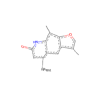 CCCCCc1cc(=O)[nH]c2c(C)c3occ(C)c3cc12